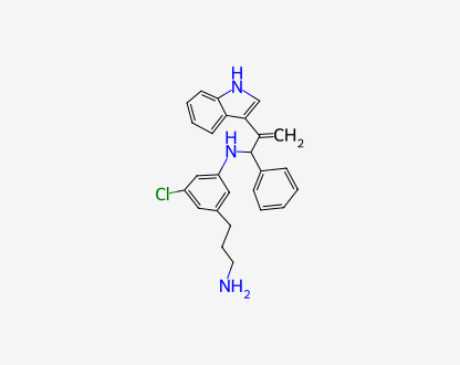 C=C(c1c[nH]c2ccccc12)C(Nc1cc(Cl)cc(CCCN)c1)c1ccccc1